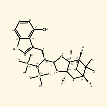 CC1(C)[C@@H]2C[C@H]3OB([C@H](Cc4coc5cccc(Cl)c45)N([Si](C)(C)C)[Si](C)(C)C)O[C@@]3(C)[C@H]1C2